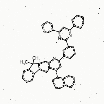 CC1(C)c2ccccc2-c2cc3c(-c4cccc5ccccc45)cc(-c4cccc(-c5nc(-c6ccccc6)cc(-c6ccccc6)n5)c4)nc3cc21